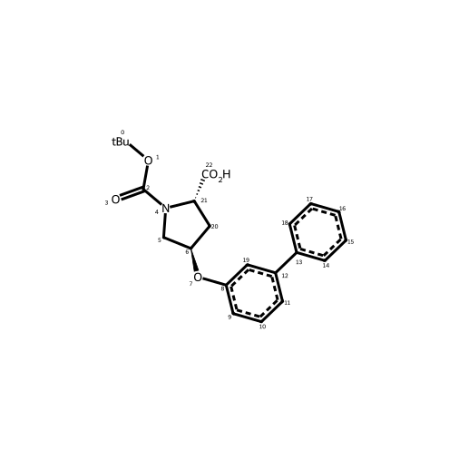 CC(C)(C)OC(=O)N1C[C@H](Oc2cccc(-c3ccccc3)c2)C[C@H]1C(=O)O